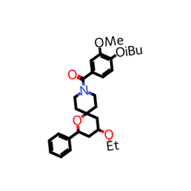 CCOC1CC(c2ccccc2)OC2(CCN(C(=O)c3ccc(OCC(C)C)c(OC)c3)CC2)C1